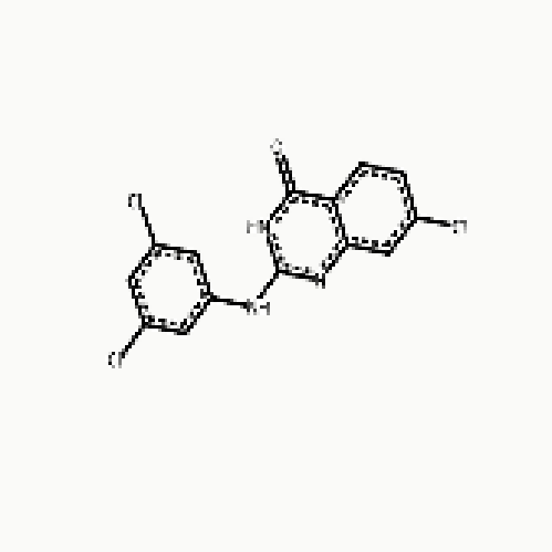 O=c1[nH]c(Nc2cc(Cl)cc(Cl)c2)nc2cc(Cl)ccc12